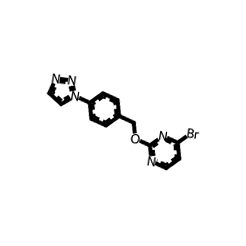 Brc1ccnc(OCc2ccc(-n3ccnn3)cc2)n1